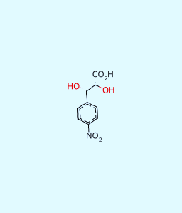 O=C(O)[C@H](O)[C@@H](O)c1ccc([N+](=O)[O-])cc1